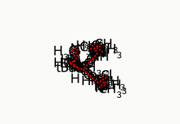 Cc1ncsc1-c1ccc(CNC(=O)[C@@H]2C[C@H](O)CN2C(=O)[C@@H](NC(=O)COCC(C)(COCCOCCOCCNC(=O)C[C@@H]2N=C(c3ccc(Cl)cc3)c3c(sc(C)c3C)-n3c(C)nnc32)COCCOCCOCCNC(=O)C[C@@H]2N=C(c3ccc(Cl)cc3)c3c(sc(C)c3C)-n3c(C)nnc32)C(C)(C)C)cc1